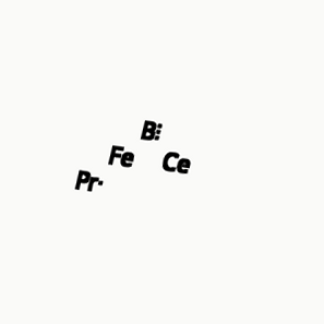 [B].[Ce].[Fe].[Pr]